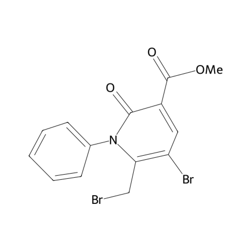 COC(=O)c1cc(Br)c(CBr)n(-c2ccccc2)c1=O